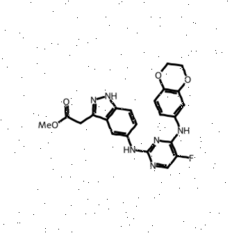 COC(=O)Cc1n[nH]c2ccc(Nc3ncc(F)c(Nc4ccc5c(c4)OCCO5)n3)cc12